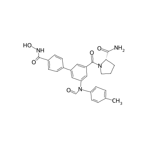 Cc1ccc(N(C=O)c2cc(C(=O)N3CCC[C@H]3C(N)=O)cc(-c3ccc(C(=O)NO)cc3)c2)cc1